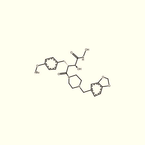 CCCCOc1ccc(C[C@@H](C(=O)N2CCN(Cc3ccc4c(c3)OCO4)CC2)[C@H](O)C(=O)NO)cc1